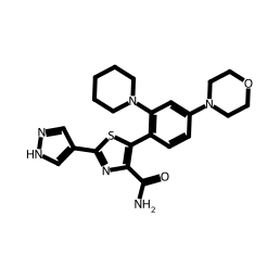 NC(=O)c1nc(-c2cn[nH]c2)sc1-c1ccc(N2CCOCC2)cc1N1CCCCC1